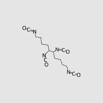 O=C=NCCCCC(N=C=O)C(CCCCN=C=O)N=C=O